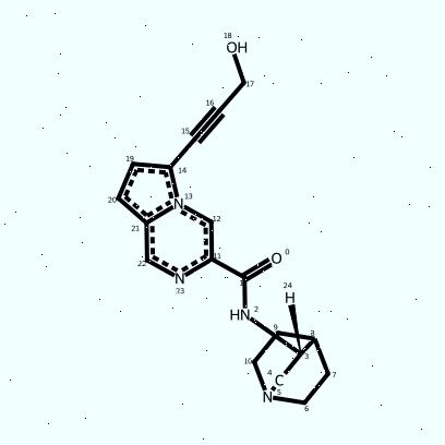 O=C(N[C@H]1CN2CCC1CC2)c1cn2c(C#CCO)ccc2cn1